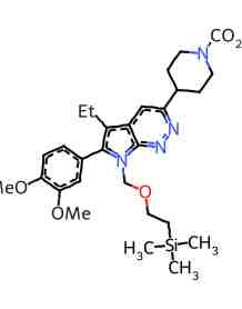 CCc1c(-c2ccc(OC)c(OC)c2)n(COCC[Si](C)(C)C)c2nnc(C3CCN(C(=O)O)CC3)cc12